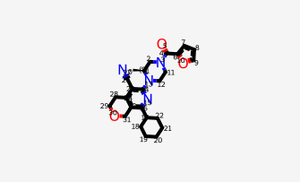 C[C@H]1CN(C(=O)c2ccco2)CCN1c1nc(C2CCCCC2)c2c(c1C#N)CCOC2